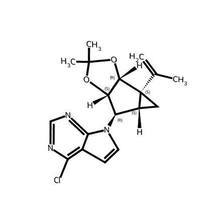 C=C(C)[C@]12C[C@@H]1[C@@H](n1ccc3c(Cl)ncnc31)[C@@H]1OC(C)(C)O[C@@H]12